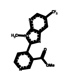 COC(=O)c1cnccc1-c1nc2cc(C(F)(F)F)cnc2n1C